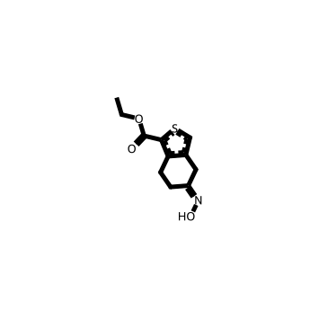 CCOC(=O)c1scc2c1CCC(=NO)C2